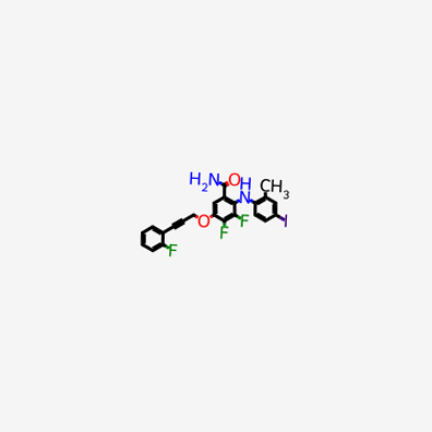 Cc1cc(I)ccc1Nc1c(C(N)=O)cc(OCC#Cc2ccccc2F)c(F)c1F